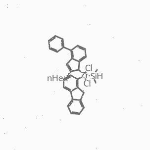 CCCCCCC1=Cc2c(-c3ccccc3)cccc2[CH]1[Zr]([Cl])([Cl])([c]1cccc2c1Cc1ccccc1-2)[SiH](C)C